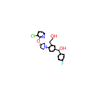 OCCc1cc(C(O)c2ccc(F)cc2)ccc1N1CC[C@H](Oc2ncccc2Cl)C1